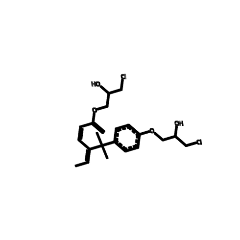 C=C(/C=C\C(=C/C)C(C)(C)c1ccc(OCC(O)CCl)cc1)OCC(O)CCl